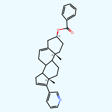 C[C@]12CC[C@H](OC(=O)c3ccccc3)CC1=CCC1C2CC[C@]2(C)C(c3cccnc3)=CCC12